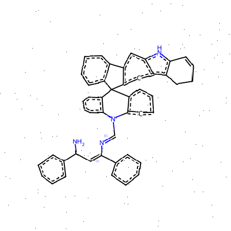 NC(/C=C(\N=C\N1c2ccccc2C2(c3ccccc3-c3cc4[nH]c5c(c4cc32)CCC=C5)c2ccccc21)c1ccccc1)c1ccccc1